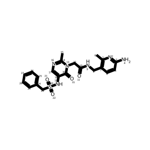 Cc1nc(N)ccc1CNC(=O)Cn1c(C)ncc(NS(=O)(=O)Cc2ccccc2)c1=O